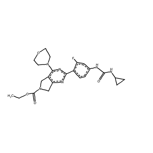 CCOC(=O)N1Cc2nc(-c3ccc(NC(=O)NC4CC4)cc3F)nc(N3CCOCC3)c2C1